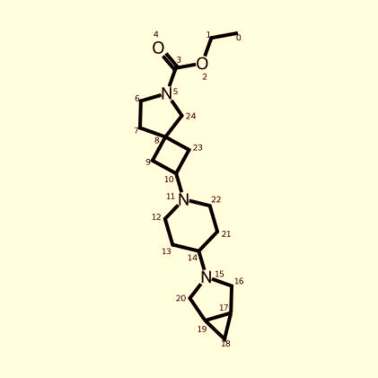 CCOC(=O)N1CCC2(CC(N3CCC(N4CC5CC5C4)CC3)C2)C1